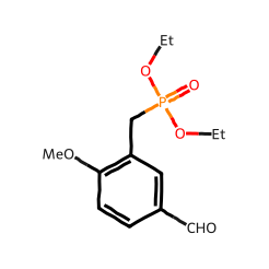 CCOP(=O)(Cc1cc(C=O)ccc1OC)OCC